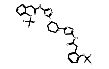 O=C(Cc1ccccc1OC(F)(F)F)Nc1nnc([C@H]2CCC[C@H](c3nnc(NC(=O)Cc4ccccc4OC(F)(F)F)s3)C2)s1